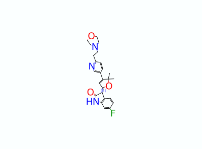 CC1(C)O/C(=C2/C(=O)Nc3cc(F)ccc32)C=C1c1ccc(CCN2CCOCC2)nc1